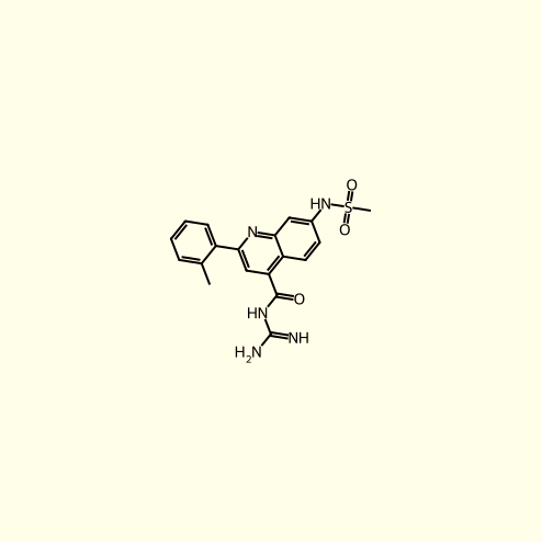 Cc1ccccc1-c1cc(C(=O)NC(=N)N)c2ccc(NS(C)(=O)=O)cc2n1